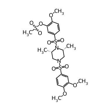 COc1ccc(S(=O)(=O)N2C[C@@H](C)N(S(=O)(=O)c3ccc(OC)c(OS(C)(=O)=O)c3)[C@@H](C)C2)cc1OC